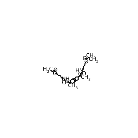 C=CC(=O)OCCCCNC(=O)OCC1(C)CC2CC(C1)C1CC(C(C)OC(=O)NCCCCOC(=O)C(=C)C)CC21